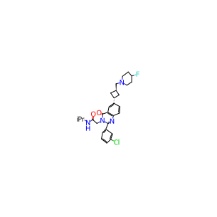 CC(C)NC(=O)Cn1c(-c2cccc(Cl)c2)nc2ccc([C@H]3C[C@H](CN4CCC(F)CC4)C3)cc2c1=O